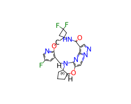 O=C1NC2(COc3ncc(F)cc3CN3c4nc5c1cnn5cc4O[C@H]1CCC[C@H]13)CC(F)(F)C2